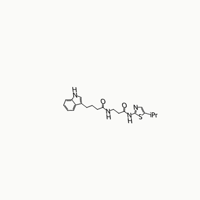 CC(C)c1cnc(NC(=O)CCNC(=O)CCCc2c[nH]c3ccccc23)s1